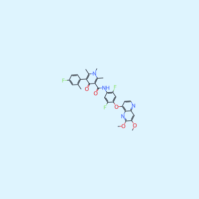 COc1cc2nccc(Oc3cc(F)c(NC(=O)c4c(C)n(C)c(C)c(-c5ccc(F)cc5C)c4=O)cc3F)c2nc1OC